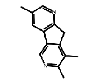 Cc1cnc2c(c1)-c1cnc(C)c(C)c1C2